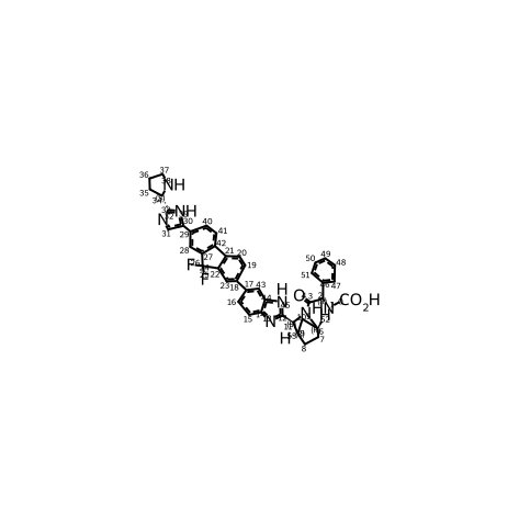 O=C(O)N[C@@H](C(=O)N1[C@@H]2CC[C@H](C2)[C@H]1c1nc2ccc(-c3ccc4c(c3)C(F)(F)c3cc(-c5cnc([C@@H]6CCCN6)[nH]5)ccc3-4)cc2[nH]1)c1ccccc1